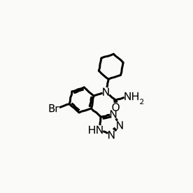 NC(=O)N(c1ccc(Br)cc1-c1nnn[nH]1)C1CCCCC1